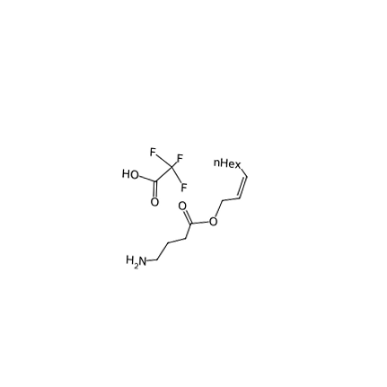 CCCCCC/C=C\COC(=O)CCCN.O=C(O)C(F)(F)F